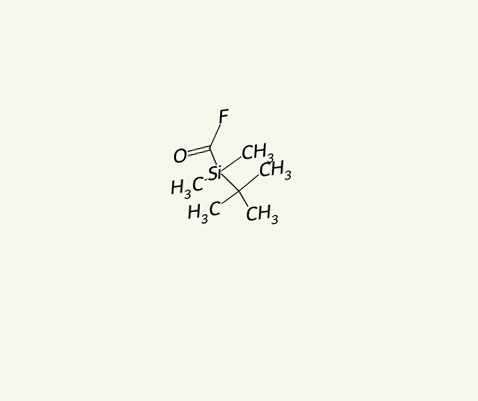 CC(C)(C)[Si](C)(C)C(=O)F